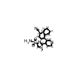 Cn1cc(S(N)(=O)=O)nc1-c1ccncc1-c1ccc(C#N)c2ccccc12